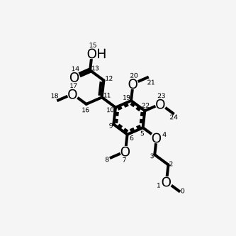 COCCOc1c(OC)cc(C(=CC(=O)O)COC)c(OC)c1OC